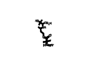 CC(C)NC(C)(C)C(=O)OCCC(C)NC(C(=O)O)C(C)(C)O